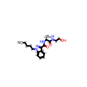 CC(C)(C)[C@H](NC(=O)c1nn(CCCCC#N)c2ccccc12)C(=O)NCCO